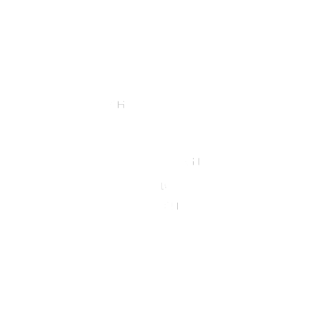 CC=CCB(C)C